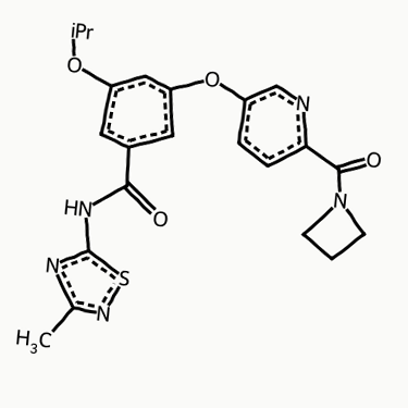 Cc1nsc(NC(=O)c2cc(Oc3ccc(C(=O)N4CCC4)nc3)cc(OC(C)C)c2)n1